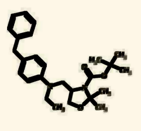 CCN(CC1COC(C)(C)N1C(=O)OC(C)(C)C)c1ccc(Cc2ccccc2)cc1